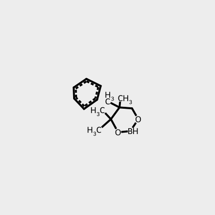 CC1(C)COBOC1(C)C.c1ccccc1